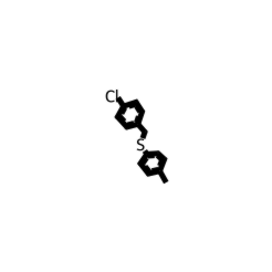 Cc1ccc(SCc2ccc(Cl)cc2)cc1